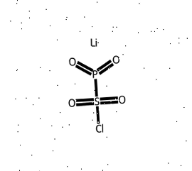 O=P(=O)S(=O)(=O)Cl.[Li]